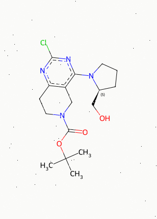 CC(C)(C)OC(=O)N1CCc2nc(Cl)nc(N3CCC[C@H]3CO)c2C1